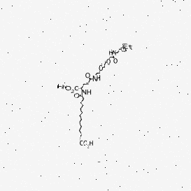 CCOCCNC(=O)COCCOCCNC(=O)CC[C@H](NC(=O)CCCCCCCCCCCCC(=O)O)C(=O)O